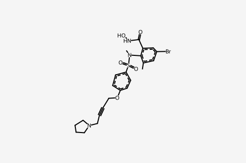 Cc1cc(Br)cc(C(=O)NO)c1N(C)S(=O)(=O)c1ccc(OCC#CCN2CCCC2)cc1